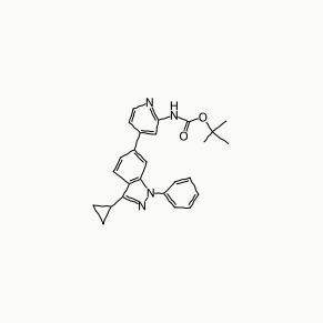 CC(C)(C)OC(=O)Nc1cc(-c2ccc3c(C4CC4)nn(-c4ccccc4)c3c2)ccn1